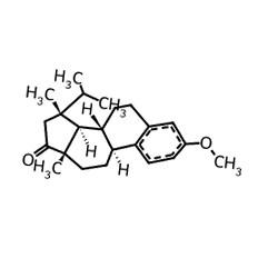 COc1ccc2c(c1)CC[C@@H]1[C@@H]2CC[C@]2(C)C(=O)C[C@](C)(C(C)C)[C@@H]12